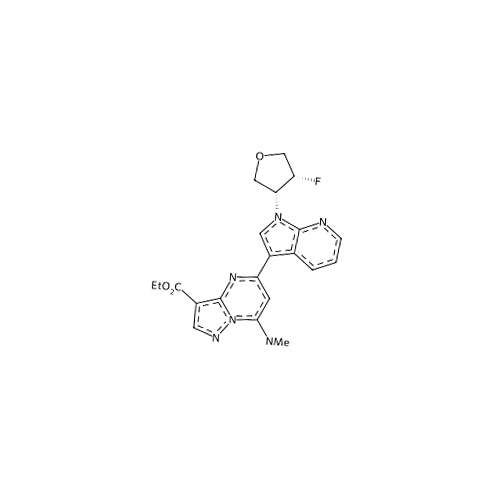 CCOC(=O)c1cnn2c(NC)cc(-c3cn([C@@H]4COC[C@@H]4F)c4ncccc34)nc12